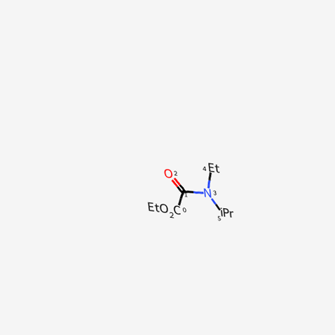 CCOC(=O)C(=O)N(CC)C(C)C